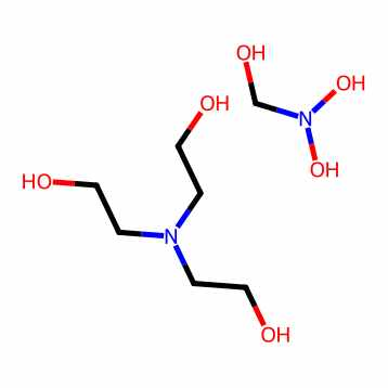 OCCN(CCO)CCO.OCN(O)O